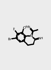 CC(=N)N1C(=N)CCc2cc(Br)c(F)c(Cl)c21